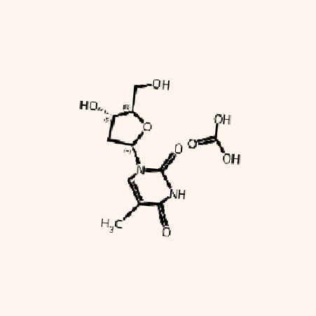 Cc1cn([C@H]2C[C@H](O)[C@@H](CO)O2)c(=O)[nH]c1=O.O=C(O)O